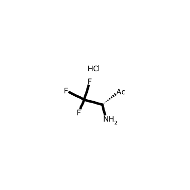 CC(=O)[C@H](N)C(F)(F)F.Cl